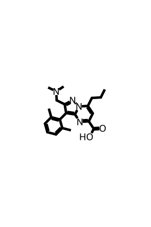 CCCc1cc(C(=O)O)nc2c(-c3c(C)cccc3C)c(CN(C)C)nn12